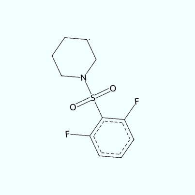 O=S(=O)(c1c(F)cccc1F)N1C[CH]CCC1